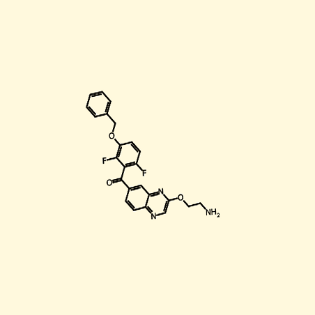 NCCOc1cnc2ccc(C(=O)c3c(F)ccc(OCc4ccccc4)c3F)cc2n1